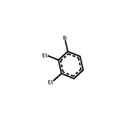 [B]c1cccc(CC)c1CC